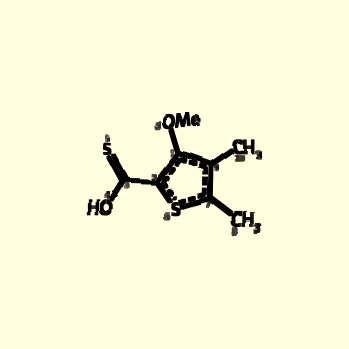 COc1c(C(O)=S)sc(C)c1C